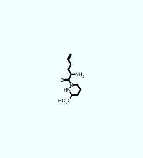 C=CCCC(N)C(=O)N1CCCC(C(=O)O)N1